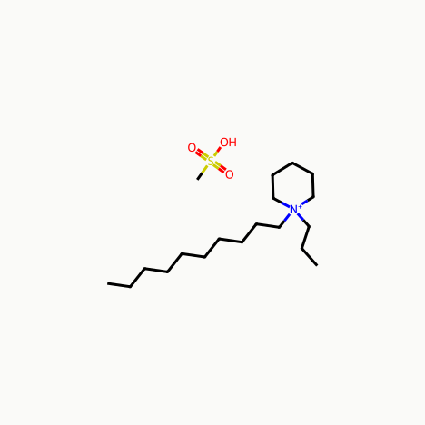 CCCCCCCCCC[N+]1(CCC)CCCCC1.CS(=O)(=O)O